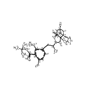 COc1c(CC(Cl)B2O[C@@H]3C[C@@H]4C[C@@H](C4(C)C)[C@]3(C)O2)ccc(Cl)c1C(=O)OC(C)(C)C